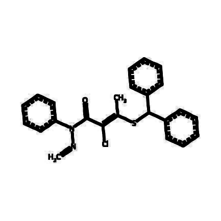 C=NN(C(=O)/C(Cl)=C(\C)SC(c1ccccc1)c1ccccc1)c1ccccc1